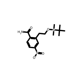 CC(C)(C)[Si](C)(C)OCCc1cc([N+](=O)[O-])ccc1C(N)=O